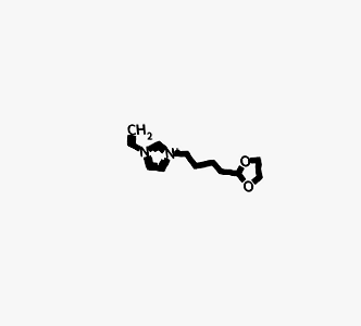 C=Cn1cc[n+](CCCCC2OCCO2)c1